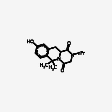 CCCN1CC(=O)N2C(Cc3cc(O)ccc3C2(C)C)C1=O